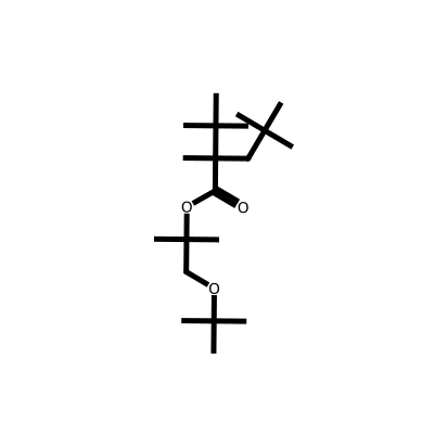 CC(C)(C)CC(C)(C(=O)OC(C)(C)COC(C)(C)C)C(C)(C)C